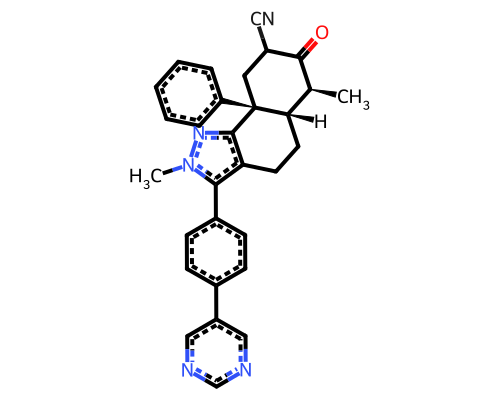 C[C@@H]1C(=O)C(C#N)C[C@@]2(c3ccccc3)c3nn(C)c(-c4ccc(-c5cncnc5)cc4)c3CC[C@@H]12